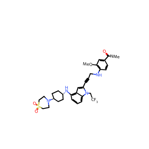 CNC(=O)c1ccc(NCC#Cc2cc3c(N[C@H]4CC[C@H](N5CCS(=O)(=O)CC5)CC4)cccc3n2CC(F)(F)F)c(OC)c1